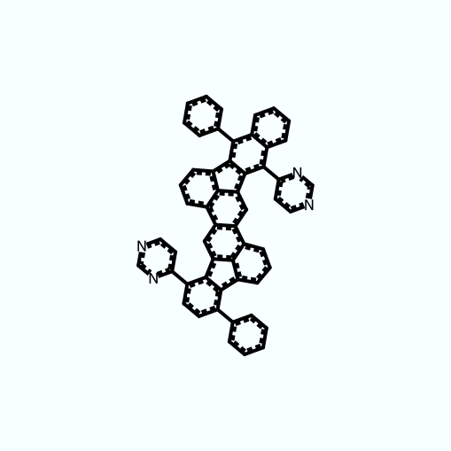 c1ccc(-c2ccc(-c3ccncn3)c3c4cc5c(cc6c7c(-c8ccncn8)c8ccccc8c(-c8ccccc8)c7c7cccc5c76)c5cccc(c23)c54)cc1